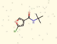 CC(C)(C)NC(=O)c1coc(Br)c1